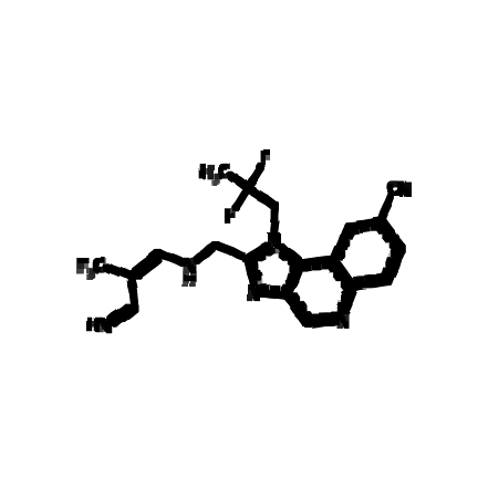 CC(F)(F)Cn1c(CN/C=C(\C=N)C(F)(F)F)nc2cnc3ccc(C#N)cc3c21